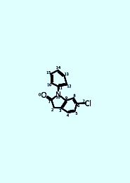 O=C1Cc2ccc(Cl)cc2N1c1ccccc1